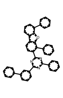 c1ccc(-c2cccc(-c3nc(-c4ccccc4)nc(-c4ccc5c(oc6c(-c7ccccc7)cccc65)c4-c4ccccc4)n3)c2)cc1